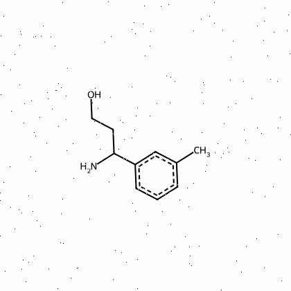 Cc1cccc(C(N)CCO)c1